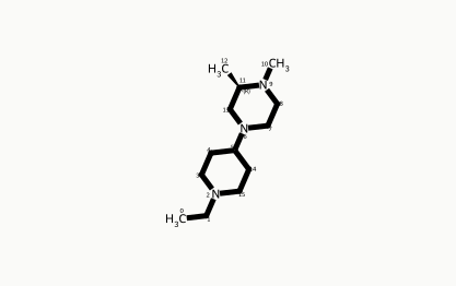 CCN1CCC(N2CCN(C)[C@H](C)C2)CC1